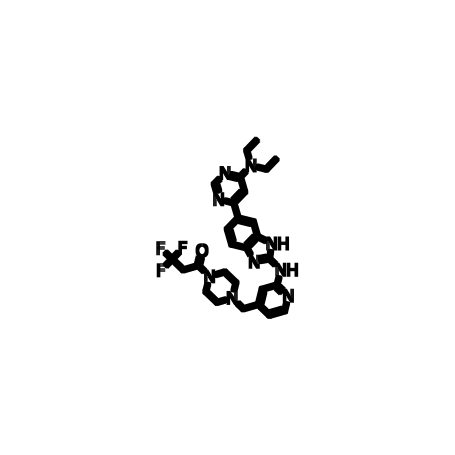 CCN(CC)c1cc(-c2ccc3nc(Nc4cc(CN5CCN(C(=O)CC(F)(F)F)CC5)ccn4)[nH]c3c2)ncn1